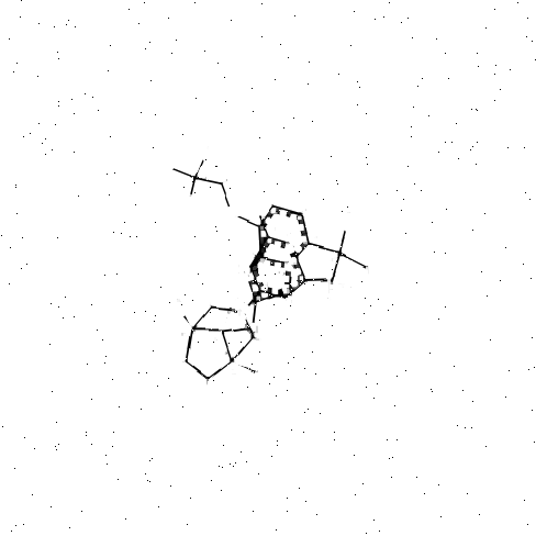 Cc1cc(N2C[C@H]3CC[C@@H](C2)[C@@H]3Nc2nc3c(OCC(F)(F)F)ccc(C(F)(F)F)n3n2)cc(Cl)n1